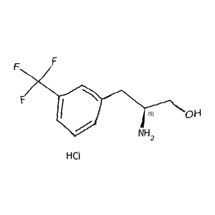 Cl.N[C@H](CO)Cc1cccc(C(F)(F)F)c1